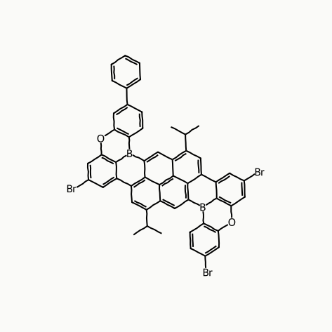 CC(C)c1cc2c3c(cc4c(C(C)C)cc5c6c(cc1c3c46)B1c3ccc(-c4ccccc4)cc3Oc3cc(Br)cc-5c31)B1c3ccc(Br)cc3Oc3cc(Br)cc-2c31